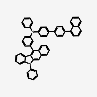 c1ccc(N(c2ccc(-c3ccc(-c4cccc5ccccc45)cc3)cc2)c2cccc(-c3c4ccccc4cc4c3c3ccccc3n4-c3ccccc3)c2)cc1